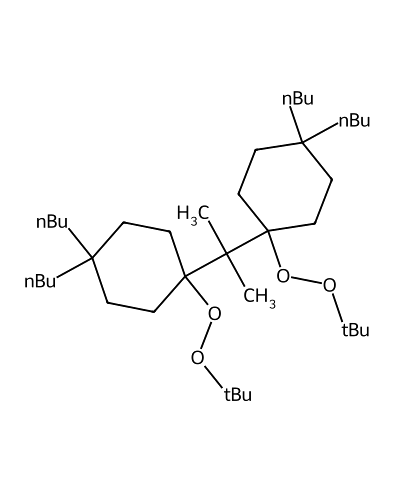 CCCCC1(CCCC)CCC(OOC(C)(C)C)(C(C)(C)C2(OOC(C)(C)C)CCC(CCCC)(CCCC)CC2)CC1